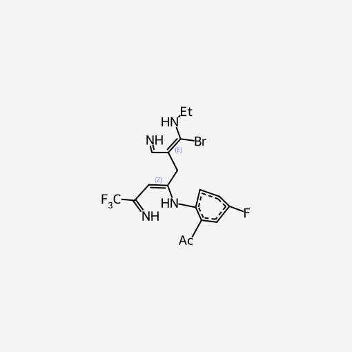 CCN/C(Br)=C(\C=N)C/C(=C/C(=N)C(F)(F)F)Nc1ccc(F)cc1C(C)=O